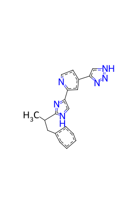 CC(Cc1ccccc1)c1nc(-c2cc(-c3c[nH]nn3)ccn2)c[nH]1